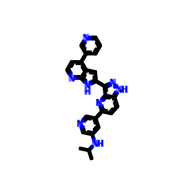 CC(C)Nc1cncc(-c2ccc3[nH]nc(-c4cc5c(-c6cccnc6)ccnc5[nH]4)c3n2)c1